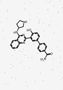 NC(=O)c1ccc(-c2ccc(O)c(-c3nc(NC4CCNC4)c4ccccc4n3)c2)cc1